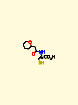 O=C(CC1CCCCO1)N[C@@H](CS)C(=O)O